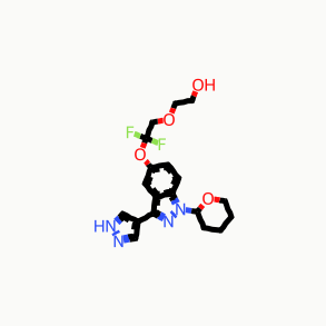 OCCOCC(F)(F)Oc1ccc2c(c1)c(-c1cn[nH]c1)nn2C1CCCCO1